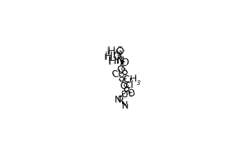 Cc1c(COc2cc(OCc3cncc(C#N)c3)c(C=O)cc2Cl)cccc1-c1cccc(OCCC(=O)NCC(O)CO)c1Cl